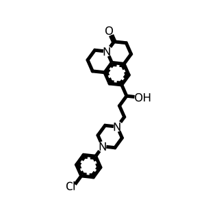 O=C1CCc2cc(C(O)CCN3CCN(c4ccc(Cl)cc4)CC3)cc3c2N1CCC3